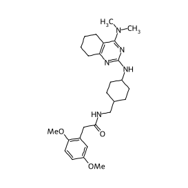 COc1ccc(OC)c(CC(=O)NCC2CCC(Nc3nc4c(c(N(C)C)n3)CCCC4)CC2)c1